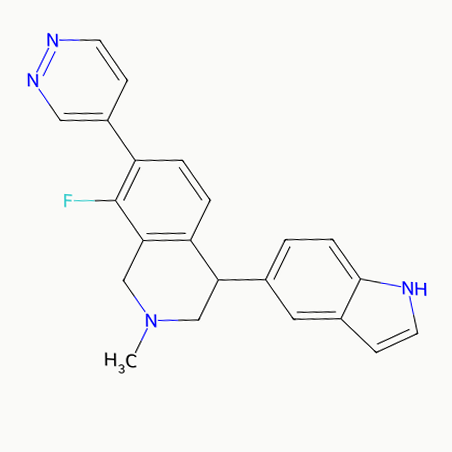 CN1Cc2c(ccc(-c3ccnnc3)c2F)C(c2ccc3[nH]ccc3c2)C1